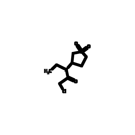 CCN(C(=O)CCl)C1CCS(=O)(=O)C1